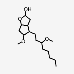 CCCCCC(CCC1C(OC)CC2OC(O)CC21)OC